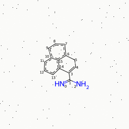 N=C(N)C1=CCc2cccc3cccc1c23